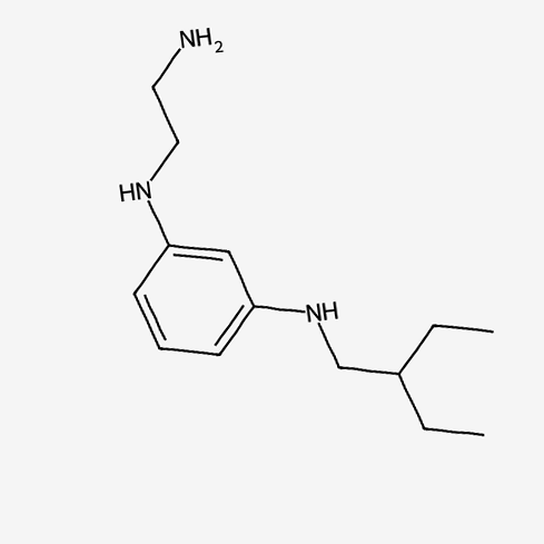 CCC(CC)CNc1cccc(NCCN)c1